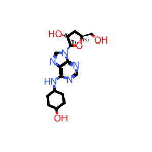 OC[C@@H]1C[C@@H](O)[C@H](n2cnc3c(NC4CCC(O)CC4)ncnc32)O1